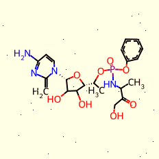 C=C1N=C(N)C=CN1[C@@H]1O[C@H](C(C)OP(=O)(NC(C)C(=O)CO)Oc2ccccc2)C(O)C1O